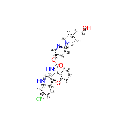 O=C(NC(c1ccccc1)c1c[nH]c2cc(Cl)ccc2c1=O)Oc1ccc(N2CCC(CCO)CC2)nc1